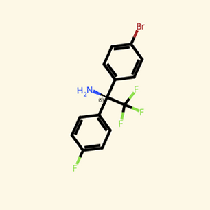 N[C@@](c1ccc(F)cc1)(c1ccc(Br)cc1)C(F)(F)F